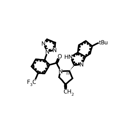 C=C1C[C@@H](c2nc3cc(C(C)(C)C)ccc3[nH]2)N(C(=O)c2cc(C(F)(F)F)ccc2-n2nccn2)C1